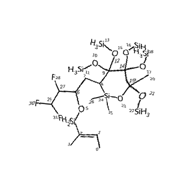 CC=C(C)[SiH2]OC(CC1C(O[SiH3])(O[SiH3])C(O[SiH3])(O[SiH3])C(C)(O[SiH3])O[Si]1(C)C)C(F)C(F)F